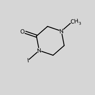 CN1CCN(I)C(=O)C1